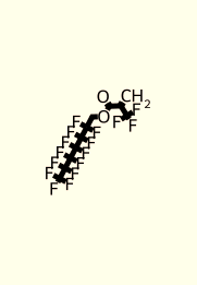 C=C(C(=O)OCC(F)(F)C(F)(F)C(F)(F)C(F)(F)C(F)(F)C(F)(F)F)C(F)(F)F